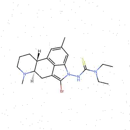 CCN(CC)C(=S)Nn1c(Br)c2c3c(cc(C)cc31)[C@H]1CCCN(C)[C@@H]1C2